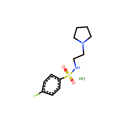 Cl.O=S(=O)(NCCN1CCCC1)c1ccc(F)cc1